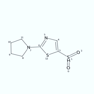 O=[SH](=O)c1cnc(N2CCCC2)s1